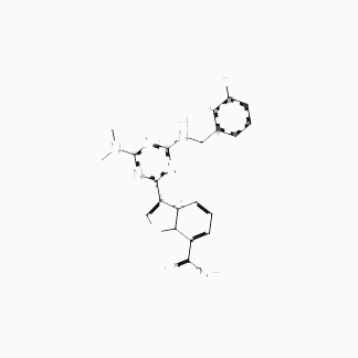 CN(C)c1nc(NCc2cccc(F)c2)nc(C2=CSC3C(C(N)=O)=CC=CC23)n1